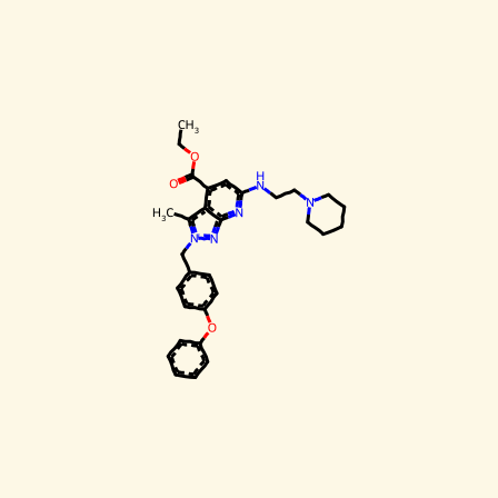 CCOC(=O)c1cc(NCCN2CCCCC2)nc2nn(Cc3ccc(Oc4ccccc4)cc3)c(C)c12